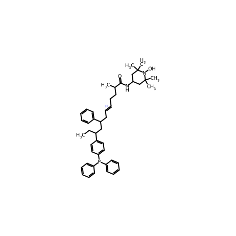 CCC(CC(C/C=C/CCC(C)C(=O)NC1CC(C)(C)N(O)C(C)(C)C1)c1ccccc1)c1ccc(P(c2ccccc2)c2ccccc2)cc1